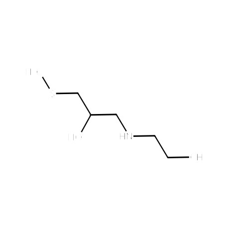 CCCNCC(O)CSC